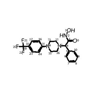 O=C(NO)C(c1ccccc1)N1CCN(c2ccc(C(F)(F)F)cc2)CC1